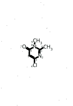 Cc1nc(Cl)cc(=O)n1C